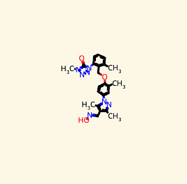 Cc1cc(-n2nc(C)c(/C=N/O)c2C)ccc1OCc1c(C)cccc1-n1nnn(C)c1=O